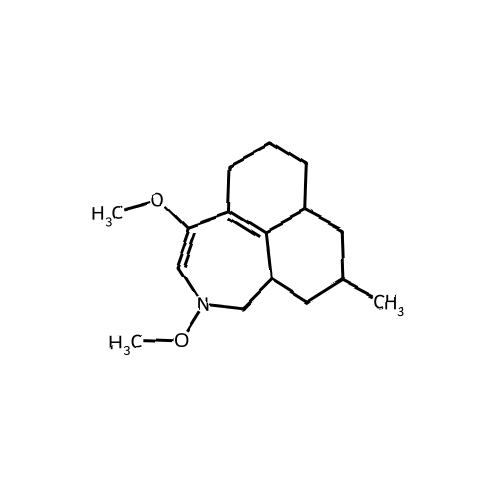 COC1=CN(OC)CC2CC(C)CC3CCCC1=C32